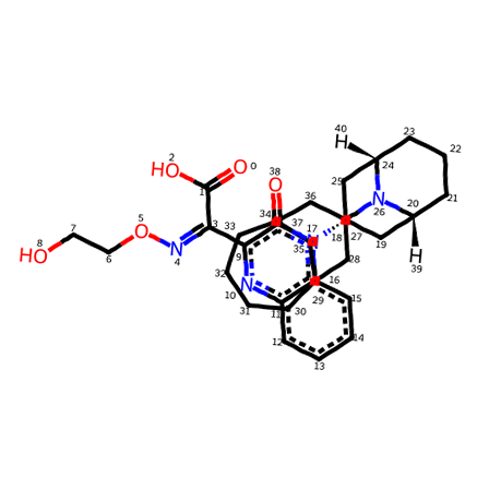 O=C(O)C(=NOCCO)c1nc2ccccc2n([C@H]2C[C@H]3CCC[C@@H](C2)N3C2CC3CCCCC(C3)C2)c1=O